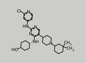 CC1(C)CCCC(N2CCC(c3cnc(Nc4ccnc(Cl)c4)nc3N[C@H]3CC[C@H](O)CC3)CC2)C1